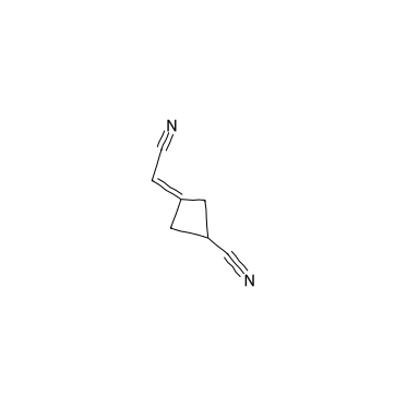 N#CC=C1CC(C#N)C1